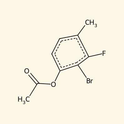 CC(=O)Oc1ccc(C)c(F)c1Br